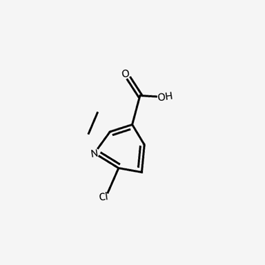 CC.O=C(O)c1ccc(Cl)nc1